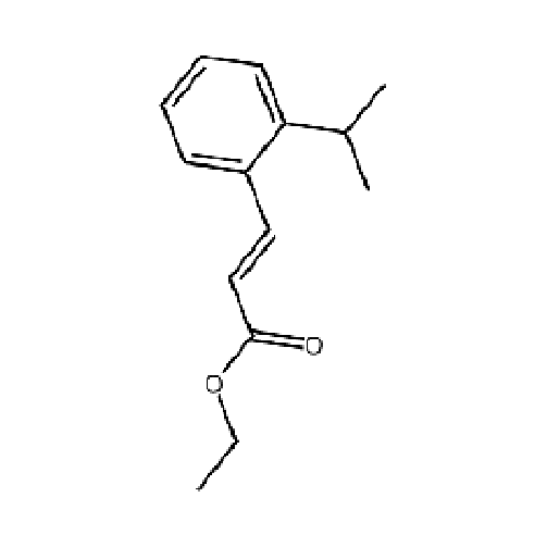 CCOC(=O)C=Cc1ccccc1C(C)C